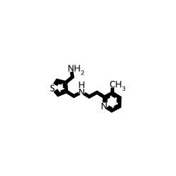 Cc1cccnc1CCNCc1cscc1CN